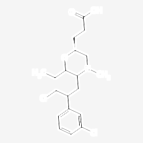 CCC1O[C@@H](CCC(=O)O)CN(C)C1CC(CCl)c1cccc(Cl)c1